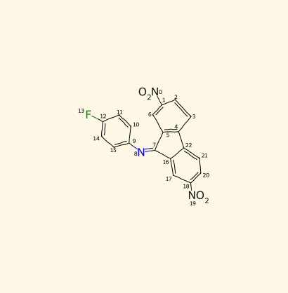 O=[N+]([O-])c1ccc2c(c1)C(=Nc1ccc(F)cc1)c1cc([N+](=O)[O-])ccc1-2